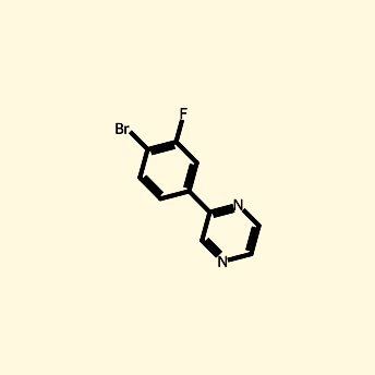 Fc1cc(-c2cnccn2)ccc1Br